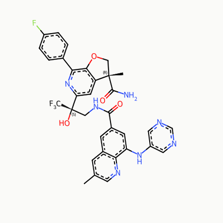 Cc1cnc2c(Nc3cncnc3)cc(C(=O)NC[C@](O)(c3cc4c(c(-c5ccc(F)cc5)n3)OC[C@]4(C)C(N)=O)C(F)(F)F)cc2c1